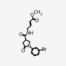 COC(=O)/C=C/CNC(=O)C1CC(=O)N(c2cccc(Br)c2)C1